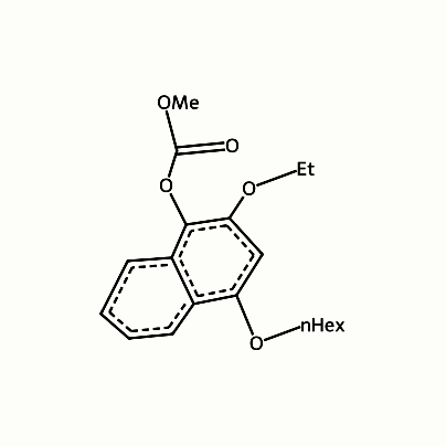 CCCCCCOc1cc(OCC)c(OC(=O)OC)c2ccccc12